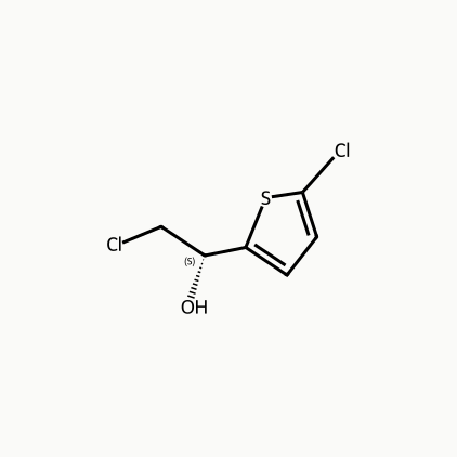 O[C@H](CCl)c1ccc(Cl)s1